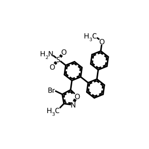 COc1ccc(-c2ccccc2-c2ccc(S(N)(=O)=O)cc2-c2onc(C)c2Br)cc1